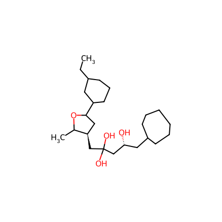 CCC1CCCC(C2C[C@@H](CC(O)(O)C[C@H](O)CC3CCCCCC3)C(C)O2)C1